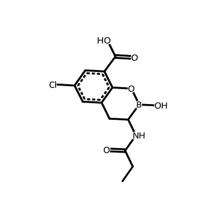 CCC(=O)NC1Cc2cc(Cl)cc(C(=O)O)c2OB1O